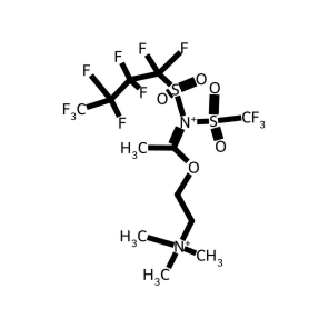 CC(OCC[N+](C)(C)C)=[N+](S(=O)(=O)C(F)(F)F)S(=O)(=O)C(F)(F)C(F)(F)C(F)(F)C(F)(F)F